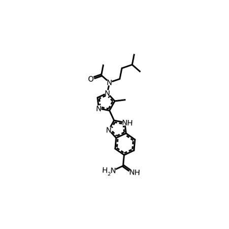 CC(=O)N(CCC(C)C)n1cnc(-c2nc3cc(C(=N)N)ccc3[nH]2)c1C